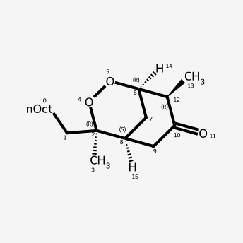 CCCCCCCCC[C@@]1(C)OO[C@@H]2C[C@H]1CC(=O)[C@@H]2C